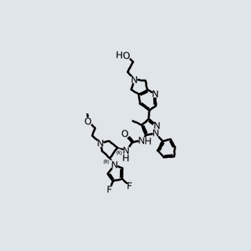 COCCN1C[C@@H](n2cc(F)c(F)c2)[C@H](NC(=O)Nc2c(C)c(-c3cnc4c(c3)CN(CCO)C4)nn2-c2ccccc2)C1